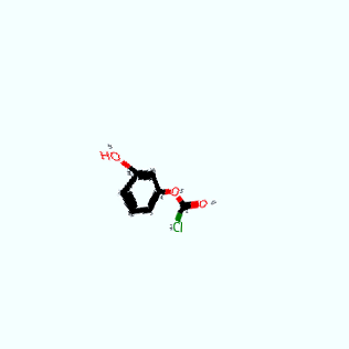 O=C(Cl)Oc1cccc(O)c1